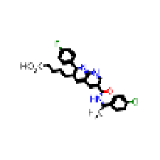 C[C@@H](NC(=O)c1cnc2nc(-c3ccc(F)cc3)c(CCCCC(=O)O)cc2c1)c1ccc(Cl)cc1